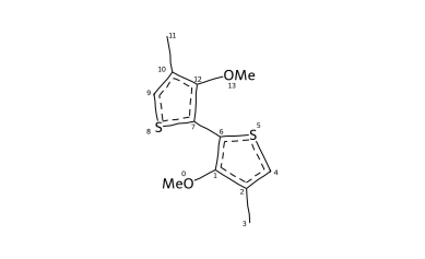 COc1c(C)csc1-c1scc(C)c1OC